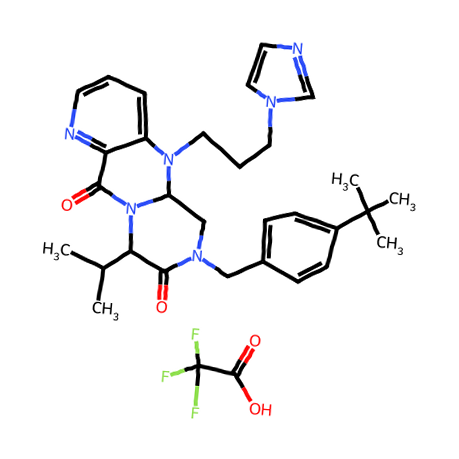 CC(C)C1C(=O)N(Cc2ccc(C(C)(C)C)cc2)CC2N(CCCn3ccnc3)c3cccnc3C(=O)N12.O=C(O)C(F)(F)F